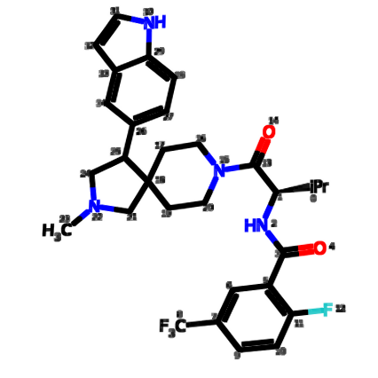 CC(C)[C@@H](NC(=O)c1cc(C(F)(F)F)ccc1F)C(=O)N1CCC2(CC1)CN(C)CC2c1ccc2[nH]ccc2c1